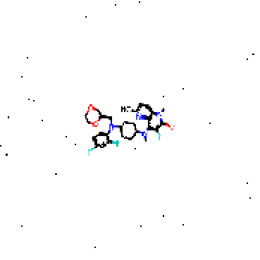 CN(c1c(F)c(=O)n(C)c2ccc(C#N)nc12)C1CCC(N(CC2COCCO2)c2ccc(F)cc2F)CC1